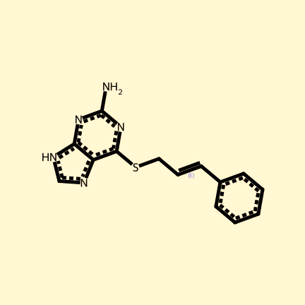 Nc1nc(SC/C=C/c2ccccc2)c2nc[nH]c2n1